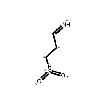 N=CCC[SH](=O)=O